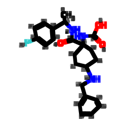 CC(NC(=O)C1(NC(=O)O)CCC(NCc2ccccc2)CC1)c1ccc(F)cc1